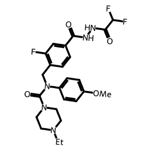 CCN1CCN(C(=O)N(Cc2ccc(C(=O)NNC(=O)C(F)F)cc2F)c2ccc(OC)cc2)CC1